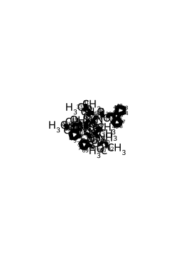 Cc1ccccc1C[C@H](NC(=O)[C@H](CCC(=O)OC(C)(C)C)NC(=O)[C@H](CC(=O)OC(C)(C)C)NC(=O)OCC1c2ccccc2-c2ccccc21)C(=O)N[C@H](C(=O)N[C@@H](CC(C)C)C(=O)OCc1ccccc1)C(C)(C)C